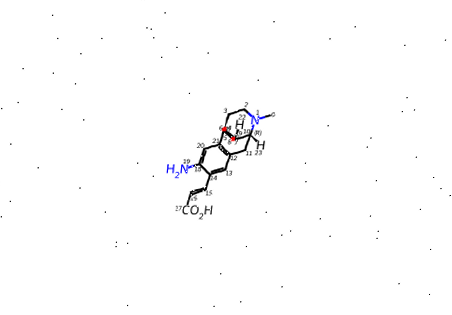 CN1CC[C@]23CCCC[C@H]2[C@H]1Cc1cc(C=CC(=O)O)c(N)cc13